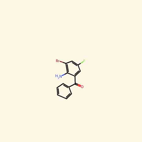 Nc1c(Br)cc(F)cc1C(=O)c1ccccc1